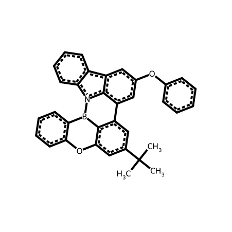 CC(C)(C)c1cc2c3c(c1)-c1cc(Oc4ccccc4)cc4c5ccccc5n(c14)B3c1ccccc1O2